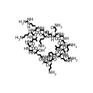 CC(C)[C@H](NC(=O)[C@H](CCCCN)NC(=O)[C@H](CCCNC(=N)N)NC(=O)[C@H](C)NC(=O)[C@H](CCCCN)NC(=O)[C@H](C)NC(=O)[C@H](CCC(N)=O)NC(=O)[C@H](C)NC(=O)[C@H](C)NC(=O)[C@H](NC(=O)[C@H](CCCCN)NC(=O)[C@H](CCCNC(=N)N)NC(=O)[C@@H]1CCCN1C(=O)[C@H](CCCCN)NC(=O)[C@H](C)N)C(C)C)C(=O)N[C@@H](C)C(=O)N[C@@H](C)C(=O)N[C@@H](CCC(N)=O)C(=O)O